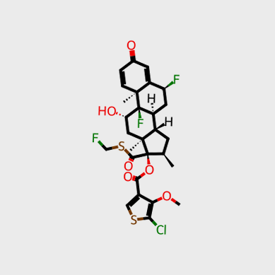 COc1c(C(=O)O[C@]2(C(=O)SCF)[C@H](C)C[C@H]3[C@@H]4C[C@H](F)C5=CC(=O)C=C[C@]5(C)[C@@]4(F)[C@@H](O)C[C@@]32C)csc1Cl